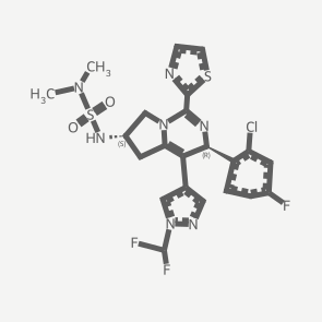 CN(C)S(=O)(=O)N[C@H]1CC2=C(c3cnn(C(F)F)c3)[C@H](c3ccc(F)cc3Cl)N=C(c3nccs3)N2C1